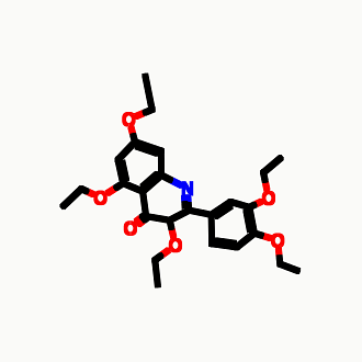 CCOc1cc2c(c(OCC)c1)C(=O)C(OCC)C(c1ccc(OCC)c(OCC)c1)=N2